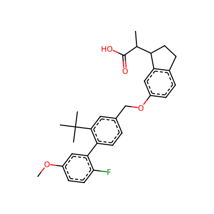 COc1ccc(F)c(-c2ccc(COc3ccc4c(c3)C(C(C)C(=O)O)CC4)cc2C(C)(C)C)c1